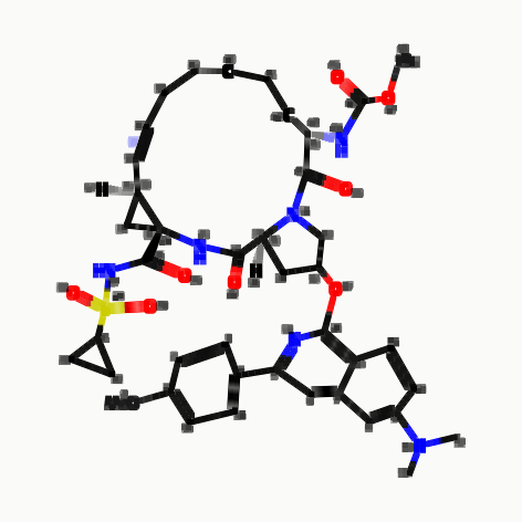 COc1ccc(-c2cc3cc(N(C)C)ccc3c(OC3C[C@H]4C(=O)N[C@]5(C(=O)NS(=O)(=O)C6CC6)C[C@H]5/C=C\CCCCC[C@H](NC(=O)OC(C)(C)C)C(=O)N4C3)n2)cc1